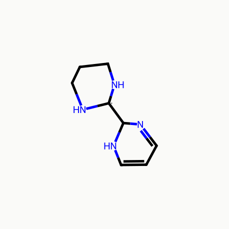 C1=CNC([C]2NCCCN2)N=C1